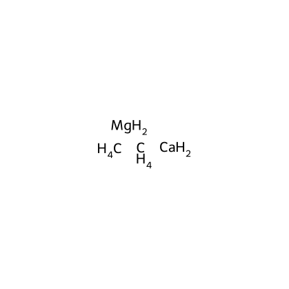 C.C.[CaH2].[MgH2]